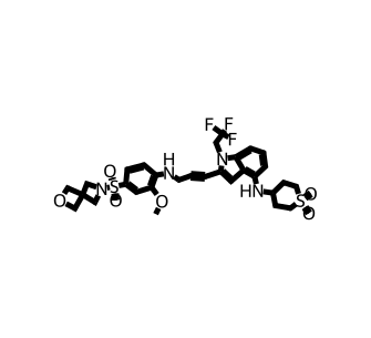 COc1cc(S(=O)(=O)N2CC3(COC3)C2)ccc1NCC#Cc1cc2c(NC3CCS(=O)(=O)CC3)cccc2n1CC(F)(F)F